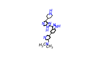 CN(C)Cc1cncc(-c2ccc3[nH]nc(-c4nc5c(C6CCNCC6)cncc5[nH]4)c3c2)c1